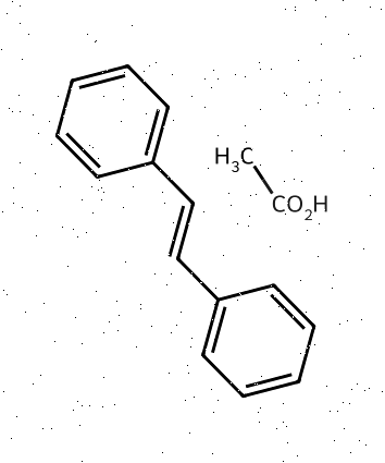 C(=Cc1ccccc1)c1ccccc1.CC(=O)O